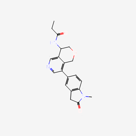 CCC(=O)NC1COCc2c(-c3ccc4c(c3)CC(=O)N4C)cncc21